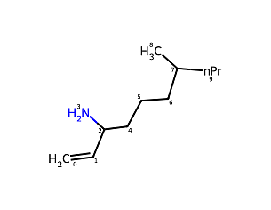 C=CC(N)CCCC(C)CCC